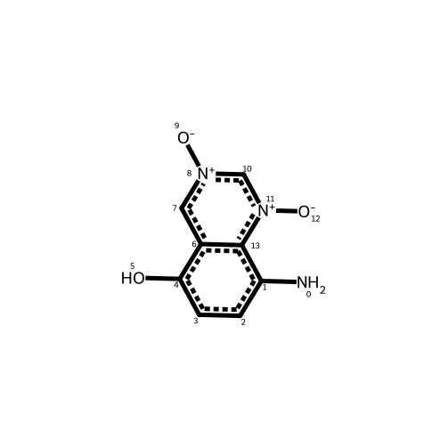 Nc1ccc(O)c2c[n+]([O-])c[n+]([O-])c12